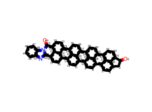 O=C1Cc2ccc3c4ccc5c6ccc7c8ccc9c%10c(ccc(c%11ccc(c%12ccc(c%13ccc1c2c%133)c4c%125)c6c%117)c8%10)c(=O)n1c2ccccc2nc91